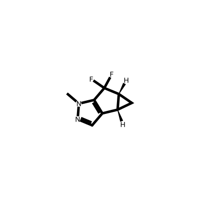 Cn1ncc2c1C(F)(F)[C@@H]1C[C@H]21